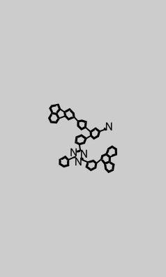 N#Cc1ccc(-c2cccc(-c3nc(-c4ccccc4)nc(-c4cccc(-c5cc6ccccc6c6ccccc56)c4)n3)c2)c(-c2ccc(-c3ccc4c(c3)-c3cccc5cccc-4c35)cc2)c1